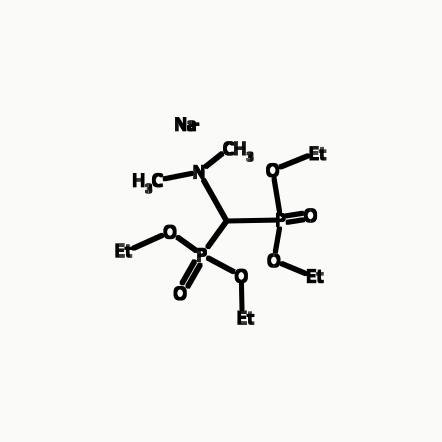 CCOP(=O)(OCC)C(N(C)C)P(=O)(OCC)OCC.[Na]